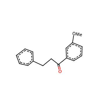 COc1cccc(C(=O)CCc2ccccc2)c1